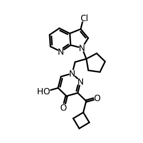 O=C(c1nn(CC2(n3cc(Cl)c4cccnc43)CCCC2)cc(O)c1=O)C1CCC1